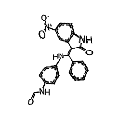 O=CNc1ccc(NC(=C2C(=O)Nc3ccc([N+](=O)[O-])cc32)c2ccccc2)cc1